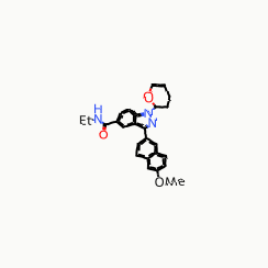 CCNC(=O)c1ccc2c(c1)c(-c1ccc3cc(OC)ccc3c1)nn2C1CCCCO1